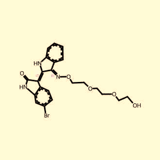 O=C1Nc2cc(Br)ccc2/C1=C1/Nc2ccccc2/C1=N\OCCOCCOCCO